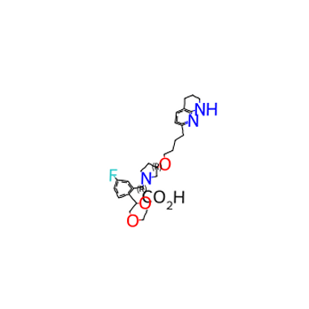 O=C(O)[C@@H](c1cc(F)ccc1C1COCCO1)N1CC[C@@H](OCCCCc2ccc3c(n2)NCCC3)C1